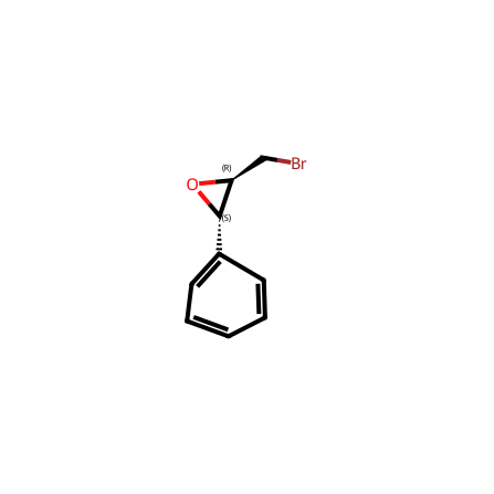 BrC[C@@H]1O[C@H]1c1ccccc1